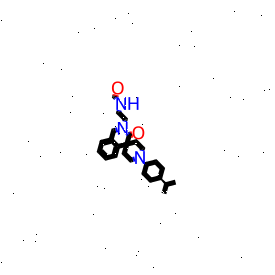 CC(C)[C@H]1CC[C@@H](N2CCC3(CC2)C(=O)N(CCNC=O)Cc2ccccc23)CC1